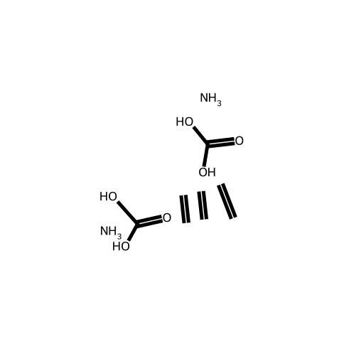 C=C.C=C.C=C.N.N.O=C(O)O.O=C(O)O